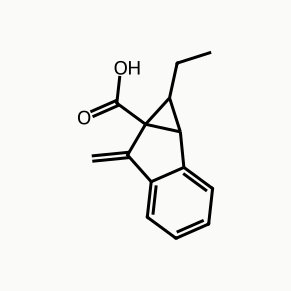 C=C1c2ccccc2C2C(CC)C12C(=O)O